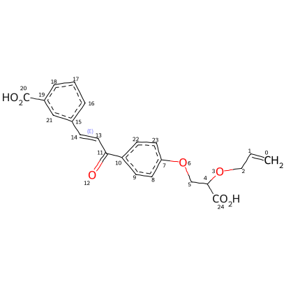 C=CCOC(COc1ccc(C(=O)/C=C/c2cccc(C(=O)O)c2)cc1)C(=O)O